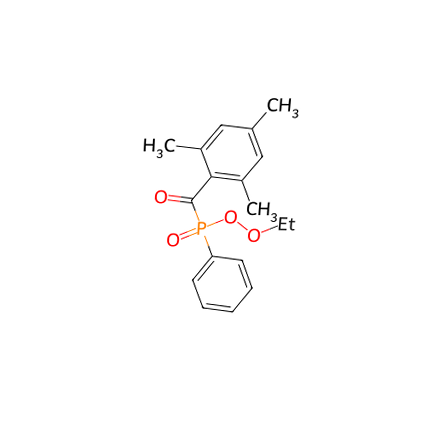 CCOOP(=O)(C(=O)c1c(C)cc(C)cc1C)c1ccccc1